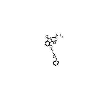 NC(=O)CN1C(=O)c2cccc(OCCCCOCc3ccccc3)c2C1=O